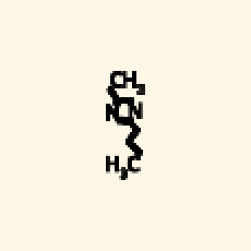 CCCCc1cnc(CC)cn1